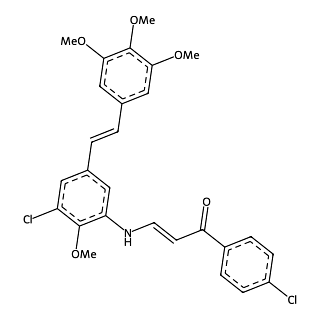 COc1cc(C=Cc2cc(Cl)c(OC)c(NC=CC(=O)c3ccc(Cl)cc3)c2)cc(OC)c1OC